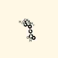 CC(C)(C)c1cc(-c2cc(N3CCC(N4CC(=O)Nc5ccccc5C4)CC3)ccc2N)ccn1